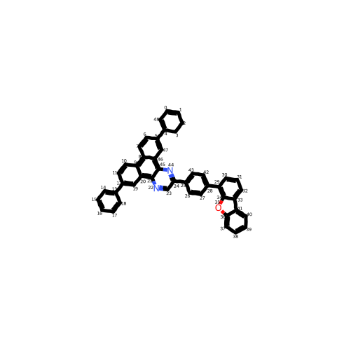 C1=CCCC(c2ccc3c4ccc(-c5ccccc5)cc4c4ncc(-c5ccc(-c6cccc7c6oc6ccccc67)cc5)nc4c3c2)=C1